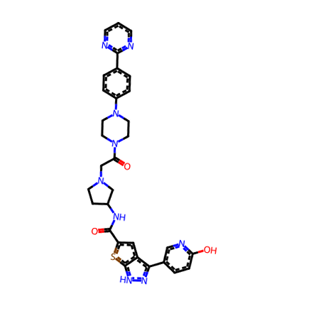 O=C(NC1CCN(CC(=O)N2CCN(c3ccc(-c4ncccn4)cc3)CC2)C1)c1cc2c(-c3ccc(O)nc3)n[nH]c2s1